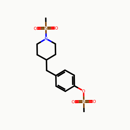 CS(=O)(=O)Oc1ccc(CC2CCN(S(C)(=O)=O)CC2)cc1